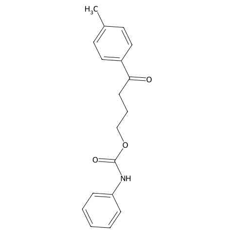 Cc1ccc(C(=O)CCCOC(=O)Nc2ccccc2)cc1